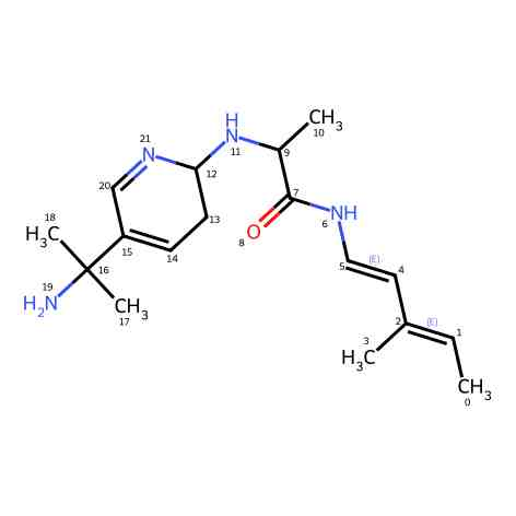 C/C=C(C)/C=C/NC(=O)C(C)NC1CC=C(C(C)(C)N)C=N1